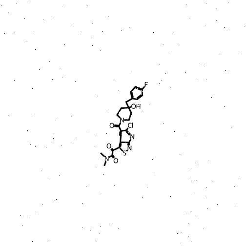 CN(C)C(=O)C(=O)c1snc2nc(Cl)c(C(=O)N3CCC(O)(Cc4ccc(F)cc4)CC3)cc12